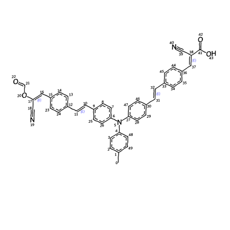 Cc1ccc(N(c2ccc(/C=C/c3ccc(/C=C(\C#N)OC=O)cc3)cc2)c2ccc(/C=C/c3ccc(/C=C(\C#N)C(=O)O)cc3)cc2)cc1